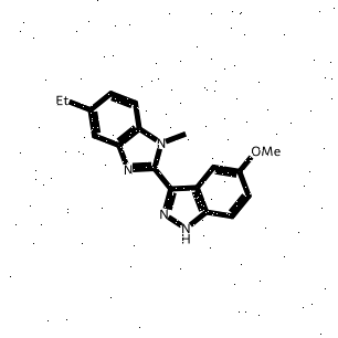 CCc1ccc2c(c1)nc(-c1n[nH]c3ccc(OC)cc13)n2C